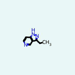 CCc1n[nH]c2ccncc12